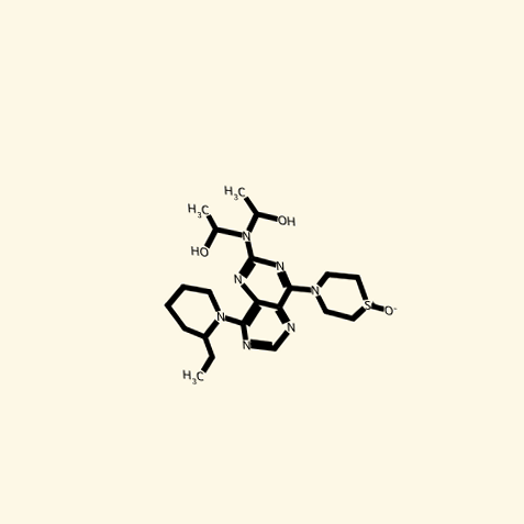 CCC1CCCCN1c1ncnc2c(N3CC[S+]([O-])CC3)nc(N(C(C)O)C(C)O)nc12